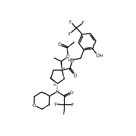 CC(=O)OC(C)[C@]1(C(=O)NCc2cc(C(F)(F)F)ccc2O)CC[C@@H](N(C(=O)C(F)(F)F)C2CCOCC2)C1